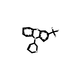 FC(F)(F)c1ccc2c(c1)Oc1ccccc1N2C1C=CCOC1